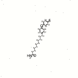 CNC(=O)CCCCCCCCCCc1ccc(Oc2ccc(F)cc2)cc1